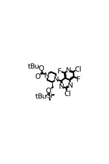 CC(C)(C)OC(=O)N1CCN(c2nc(Cl)nc3c(F)c(Cl)nc(F)c23)[C@@H](CO[Si](C)(C)C(C)(C)C)C1